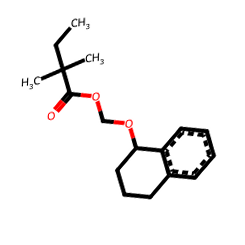 CCC(C)(C)C(=O)OCOC1CCCc2ccccc21